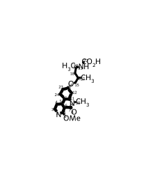 COc1nccc2c1c(=O)n(C)c1cc(OCC(C)CC(C)NC(=O)O)ccc21